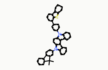 CC1(C)c2ccccc2-c2ccc(-n3c4ccccc4c4c5c6ccccc6n(-c6ccc(-c7cccc8c7sc7ccccc78)cc6)c5ccc43)cc21